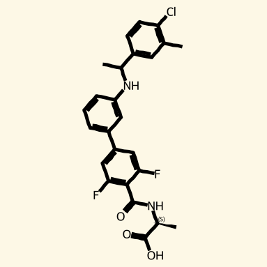 Cc1cc(C(C)Nc2cccc(-c3cc(F)c(C(=O)N[C@@H](C)C(=O)O)c(F)c3)c2)ccc1Cl